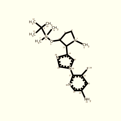 CN1CCC(O[Si](C)(C)C(C)(C)C)C1c1cn(-c2ncc(N)cc2F)cn1